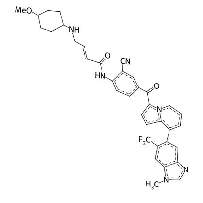 COC1CCC(NC/C=C/C(=O)Nc2ccc(C(=O)c3ccc4c(-c5cc6ncn(C)c6cc5C(F)(F)F)cccn34)cc2C#N)CC1